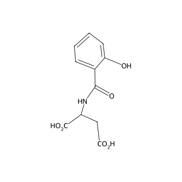 O=C(O)CC(NC(=O)c1ccccc1O)C(=O)O